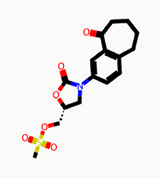 CS(=O)(=O)OC[C@H]1CN(c2ccc3c(c2)C(=O)CCCC3)C(=O)O1